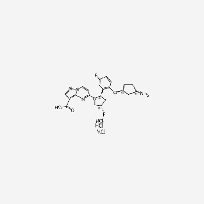 Cl.Cl.Cl.N[C@@H]1CC[C@H](Oc2ccc(F)cc2[C@H]2C[C@H](F)CN2c2ccn3ncc(C(=O)O)c3n2)C1